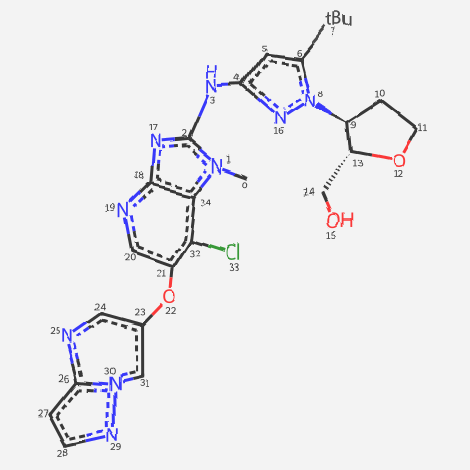 Cn1c(Nc2cc(C(C)(C)C)n([C@H]3CCO[C@@H]3CO)n2)nc2ncc(Oc3cnc4ccnn4c3)c(Cl)c21